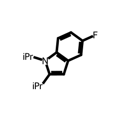 CC(C)c1cc2cc(F)ccc2n1C(C)C